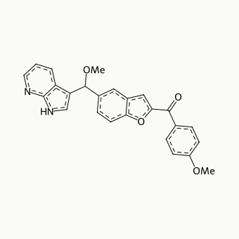 COc1ccc(C(=O)c2cc3cc(C(OC)c4c[nH]c5ncccc45)ccc3o2)cc1